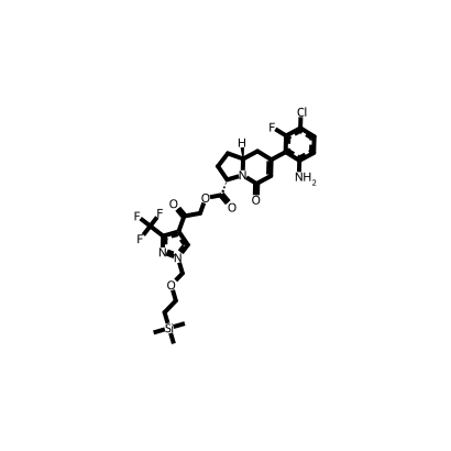 C[Si](C)(C)CCOCn1cc(C(=O)COC(=O)[C@@H]2CC[C@@H]3CC(c4c(N)ccc(Cl)c4F)=CC(=O)N32)c(C(F)(F)F)n1